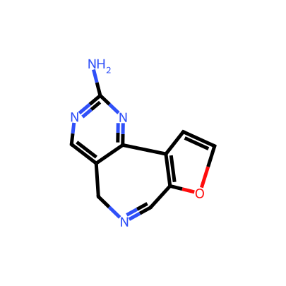 Nc1ncc2c(n1)-c1ccoc1C=NC2